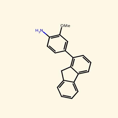 COc1cc(-c2cccc3c2Cc2ccccc2-3)ccc1N